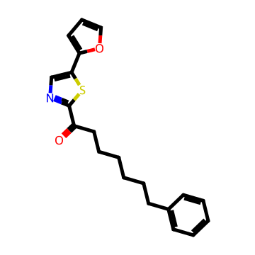 O=C(CCCCCCc1ccccc1)c1ncc(-c2ccco2)s1